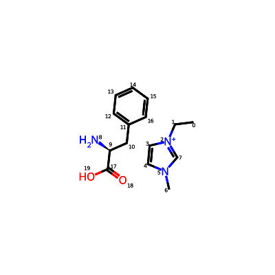 CC[n+]1ccn(C)c1.N[C@@H](Cc1ccccc1)C(=O)O